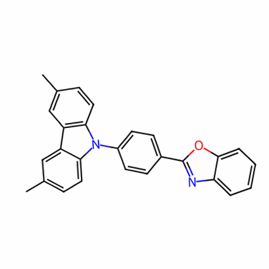 Cc1ccc2c(c1)c1cc(C)ccc1n2-c1ccc(-c2nc3ccccc3o2)cc1